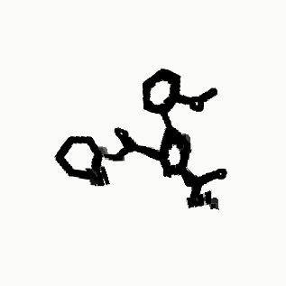 COc1ccccc1-c1sc(C(N)=O)nc1C(=O)[CH][C@H]1CCCCN1